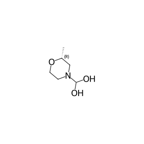 C[C@@H]1CN(C(O)O)CCO1